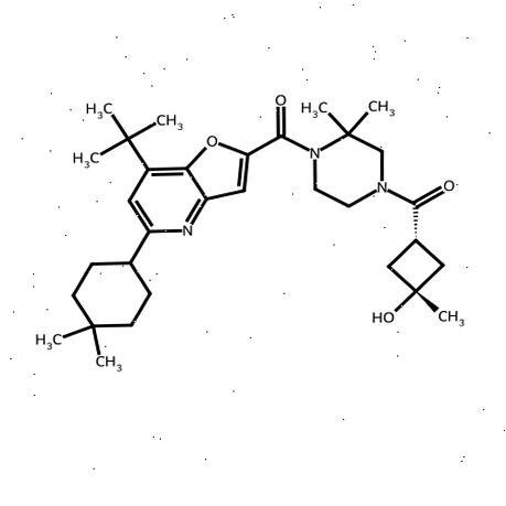 CC1(C)CCC(c2cc(C(C)(C)C)c3oc(C(=O)N4CCN(C(=O)[C@H]5C[C@@](C)(O)C5)CC4(C)C)cc3n2)CC1